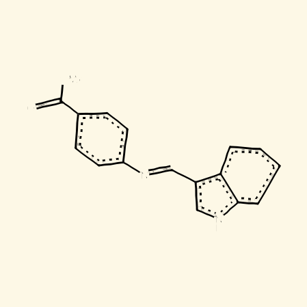 COC(=O)c1ccc(N=Cc2c[nH]c3ccccc23)cc1